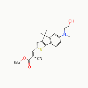 CN(CCO)c1ccc2c(c1)C(C)(C)c1cc(/C=C(\C#N)C(=O)OC(C)(C)C)sc1-2